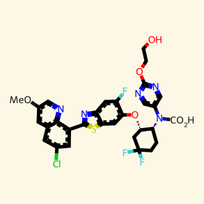 COc1cnc2c(-c3nc4cc(F)c(O[C@H]5CC(F)(F)CC[C@H]5N(C(=O)O)c5cnc(OCCO)nc5)cc4s3)cc(Cl)cc2c1